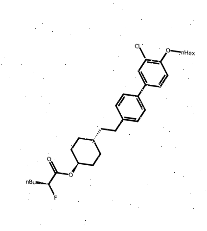 CCCCCCOc1ccc(-c2ccc(CC[C@H]3CC[C@H](OC(=O)[C@@H](F)CCCC)CC3)cc2)cc1Cl